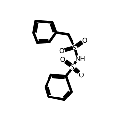 O=S(=O)(Cc1ccccc1)NS(=O)(=O)c1ccccc1